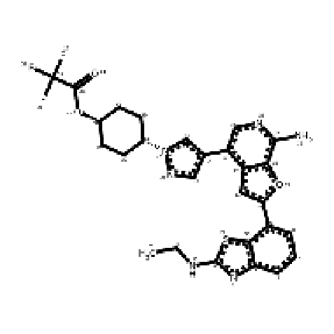 CCNc1nc2cccc(-c3cc4c(-c5cnn([C@H]6CC[C@H](OC(=O)C(F)(F)F)CC6)c5)cnc(N)c4o3)c2s1